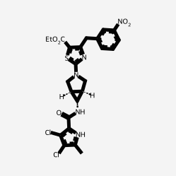 CCOC(=O)c1sc(N2C[C@@H]3[C@H](C2)[C@H]3NC(=O)c2[nH]c(C)c(Cl)c2Cl)nc1Cc1cccc([N+](=O)[O-])c1